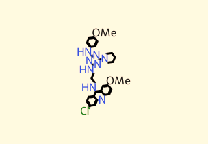 COc1ccc(Nc2nc(NCCCNc3c4ccc(Cl)cc4nc4ccc(OC)cc34)nc(N3CCCCC3)n2)cc1